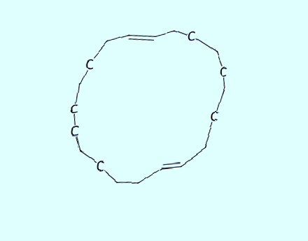 C1=C/CCCCCCCCC/C=C/CCCCCCC/1